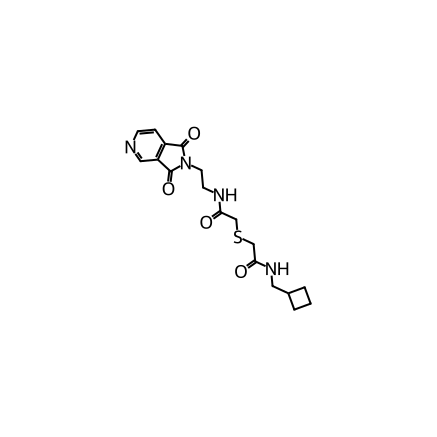 O=C(CSCC(=O)NCC1CCC1)NCCN1C(=O)c2ccncc2C1=O